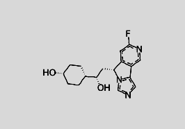 O[C@@H](C[C@@H]1c2cc(F)ncc2-c2cncn21)[C@H]1CC[C@@H](O)CC1